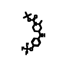 CC1CC(Nc2ccc(OC(F)(F)F)cc2)CCN1C(=O)OC(C)(C)C